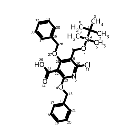 CC(C)(C)[Si](C)(C)OCc1c(Cl)nc(OCc2ccccc2)c(C(=O)O)c1OCc1ccccc1